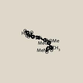 CNC(=O)N1CCc2c(-c3cc(OC)c(CN4CCC(CCN5CC6CN(c7ccc8c(c7)C(=O)N(C7CCC(=O)NC7=O)C8=O)CC6C5)CC4)c(OC)c3)cn(C)c(=O)c2C1